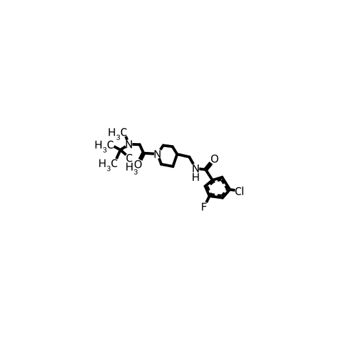 CN(CC(=O)N1CCC(CNC(=O)c2cc(F)cc(Cl)c2)CC1)C(C)(C)C